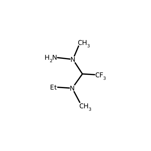 CCN(C)C(N(C)N)C(F)(F)F